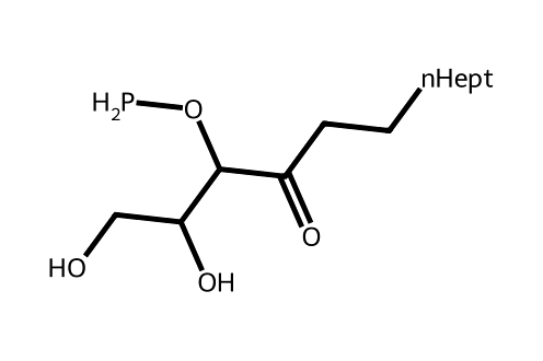 CCCCCCCCCC(=O)C(OP)C(O)CO